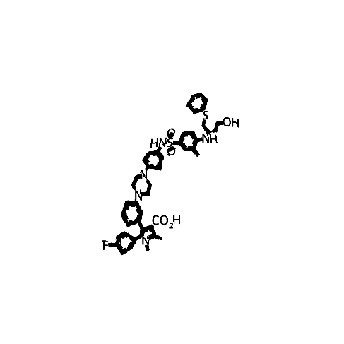 Cc1cc(S(=O)(=O)Nc2ccc(N3CCN(c4cccc(-c5c(C(=O)O)c(C)n(C)c5-c5ccc(F)cc5)c4)CC3)cc2)ccc1N[C@H](CCO)CSc1ccccc1